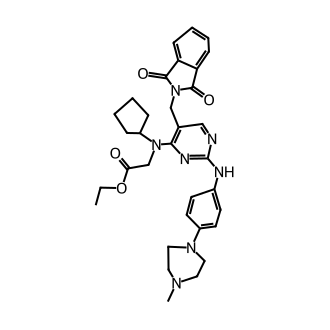 CCOC(=O)CN(c1nc(Nc2ccc(N3CCN(C)CC3)cc2)ncc1CN1C(=O)c2ccccc2C1=O)C1CCCC1